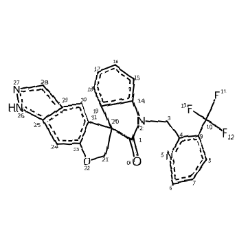 O=C1N(Cc2ncccc2C(F)(F)F)c2ccccc2C12COc1cc3[nH]ncc3cc12